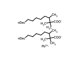 CCCCCCCCCCCCCCCC(C)C(C)(C)C(=O)[O-].CCCCCCCCCCCCCCCC(C)C(C)(C)C(=O)[O-].[Pb+2]